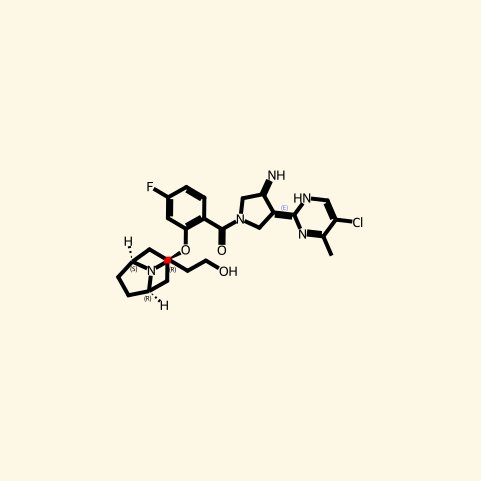 CC1=N/C(=C2\CN(C(=O)c3ccc(F)cc3O[C@H]3C[C@H]4CC[C@@H](C3)N4CCCO)CC2=N)NC=C1Cl